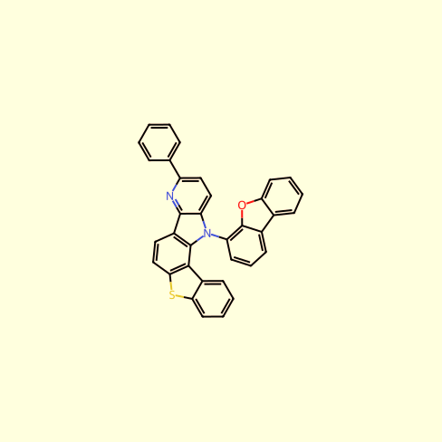 c1ccc(-c2ccc3c(n2)c2ccc4sc5ccccc5c4c2n3-c2cccc3c2oc2ccccc23)cc1